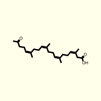 CC(=O)CCC=C(C)CCC=C(C)CCC=C(C)CCC=C(C)CC(=O)O